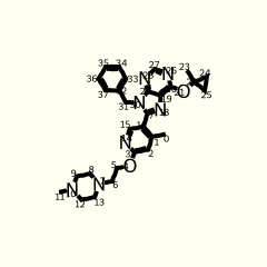 Cc1cc(OCCN2CCN(C)CC2)ncc1-c1nc2c(OC3(C)CC3)ncnc2n1Cc1ccccc1